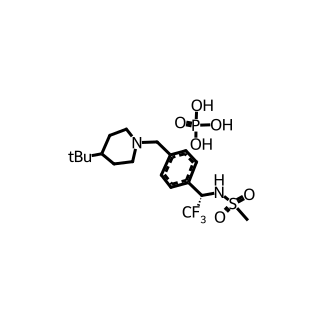 CC(C)(C)C1CCN(Cc2ccc([C@H](NS(C)(=O)=O)C(F)(F)F)cc2)CC1.O=P(O)(O)O